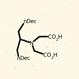 CCCCCCCCCCCC(CCCCCCCCCCC)N(CC(=O)O)CC(=O)O